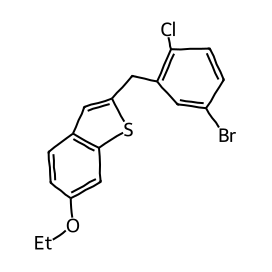 CCOc1ccc2cc(Cc3cc(Br)ccc3Cl)sc2c1